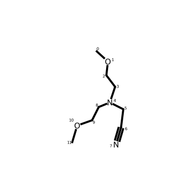 COCCN(CC#N)CCOC